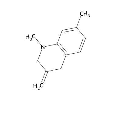 C=C1Cc2ccc(C)cc2N(C)C1